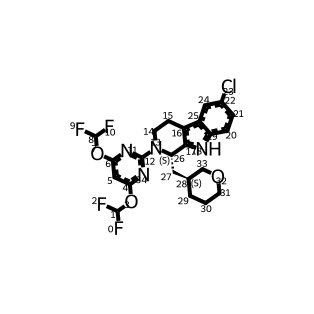 FC(F)Oc1cc(OC(F)F)nc(N2CCc3c([nH]c4ccc(Cl)cc34)[C@@H]2C[C@@H]2CCCOC2)n1